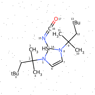 CC(C)(C)CC(C)(C)N1C=CN(C(C)(C)CC(C)(C)C)[SiH]1N=C=O